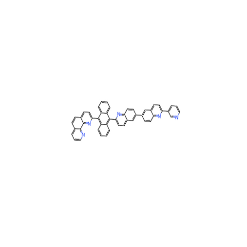 c1cncc(-c2ccc3cc(-c4ccc5nc(-c6c7ccccc7c(-c7ccc8ccc9cccnc9c8n7)c7ccccc67)ccc5c4)ccc3n2)c1